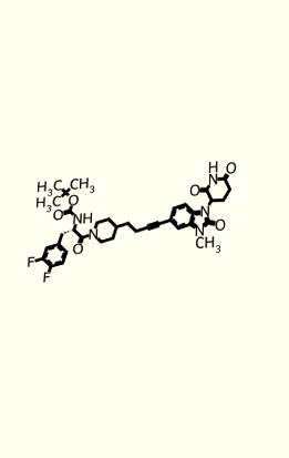 Cn1c(=O)n(C2CCC(=O)NC2=O)c2ccc(C#CCCC3CCN(C(=O)[C@H](Cc4ccc(F)c(F)c4)NC(=O)OC(C)(C)C)CC3)cc21